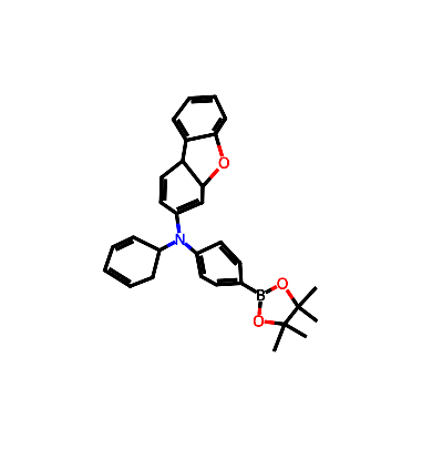 CC1(C)OB(c2ccc(N(C3=CC4Oc5ccccc5C4C=C3)C3C=CC=CC3)cc2)OC1(C)C